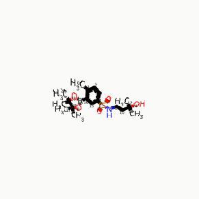 Cc1ccc(S(=O)(=O)NCCC(C)(C)O)cc1B1OC(C)(C)C(C)(C)O1